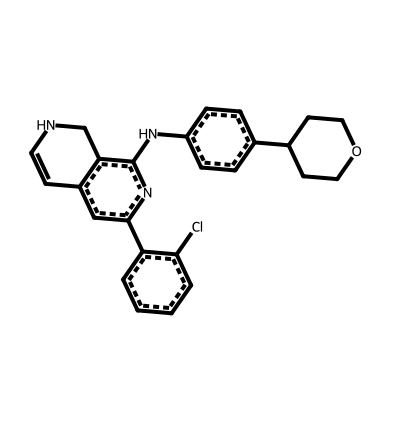 Clc1ccccc1-c1cc2c(c(Nc3ccc(C4CCOCC4)cc3)n1)CNC=C2